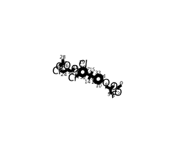 CC(=O)OC(CF)COc1ccc(C(C)(C)c2cc(Cl)c(OCC(CCl)OC(C)=O)c(Cl)c2)cc1